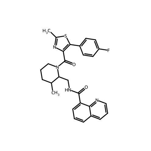 Cc1nc(C(=O)N2CCCC(C)C2CNC(=O)c2cccc3cccnc23)c(-c2ccc(F)cc2)s1